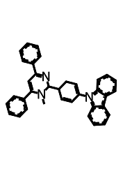 CN1C(c2ccccc2)=CC(c2ccccc2)=NC1C1C=CC(n2c3ccccc3c3ccccc32)=CC1